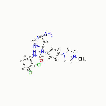 CN1CCN(c2ccc(N(C(=O)Nc3cccc(Cl)c3Cl)c3cc(N)ncn3)cc2)CC1